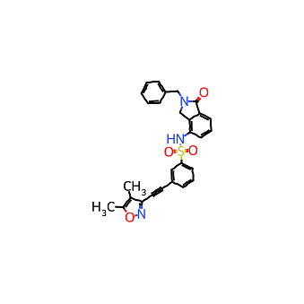 Cc1onc(C#Cc2cccc(S(=O)(=O)Nc3cccc4c3CN(Cc3ccccc3)C4=O)c2)c1C